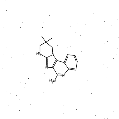 CC1(C)CNc2nc3c(N)nc4ccccc4c3n2C1